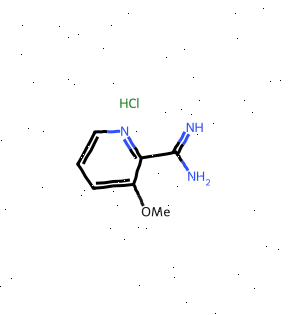 COc1cccnc1C(=N)N.Cl